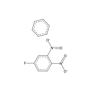 O=[N+]([O-])c1ccc(F)cc1[N+](=O)[O-].c1ccccc1